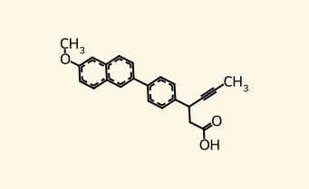 CC#CC(CC(=O)O)c1ccc(-c2ccc3cc(OC)ccc3c2)cc1